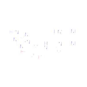 Nc1ncnc2c1ncn2[C@@H]1O[C@H](C(=O)NCCC(=O)N2CCNCCNCCNCC2)[C@@H](O)[C@H]1O